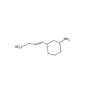 NC1CCCC(/C=C/CC(=O)O)C1